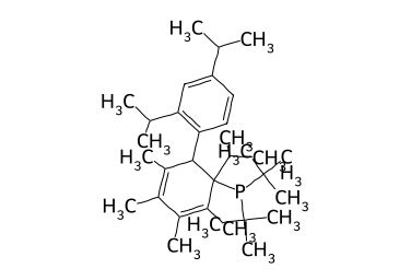 CC1=C(C)C(c2ccc(C(C)C)cc2C(C)C)C(C(C)C)(P(C(C)(C)C)C(C)(C)C)C(C)=C1C